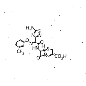 Nc1nc(C(=NOc2cccc(C(F)(F)F)c2)C(=O)NC2C(=O)N3C=C(C(=O)O)CS[C@H]23)ns1